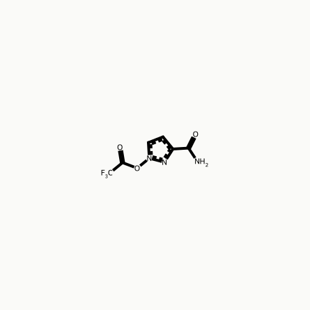 NC(=O)c1ccn(OC(=O)C(F)(F)F)n1